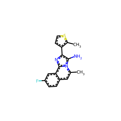 Cc1sccc1-c1nc2c3cc(F)ccc3cc(C)n2c1N